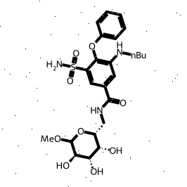 CCCCNc1cc(C(=O)NC[C@H]2OC(OC)[C@H](O)[C@@H](O)[C@H]2O)cc(S(N)(=O)=O)c1Oc1ccccc1